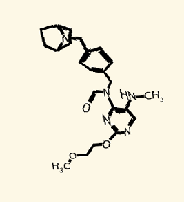 CNc1cnc(OCCOC)nc1N(C=O)Cc1ccc(CN2C3CCC2CC3)cc1